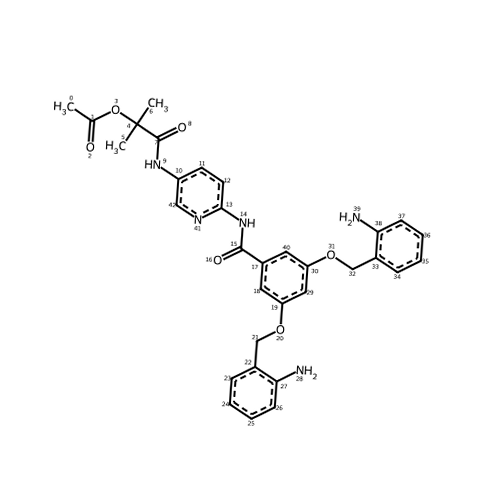 CC(=O)OC(C)(C)C(=O)Nc1ccc(NC(=O)c2cc(OCc3ccccc3N)cc(OCc3ccccc3N)c2)nc1